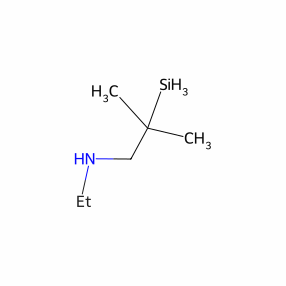 CCNCC(C)(C)[SiH3]